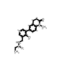 CC[S+]([O-])NCc1cncc(-c2ccc3c(c2)CCC(=O)N3C)c1Cl